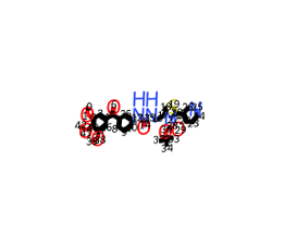 COc1cc(C(=O)c2cccc(NC(=O)NCC3=CSC(c4cccnc4)N3C(=O)OC(C)(C)C)c2)cc(OC)c1OC